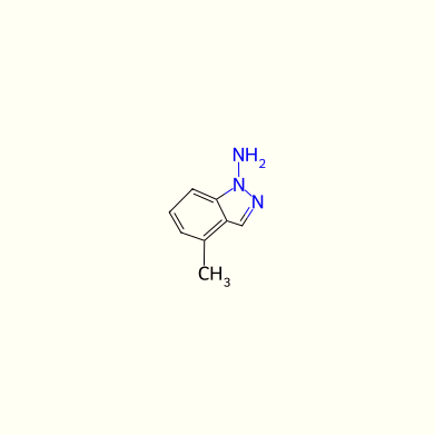 Cc1cccc2c1cnn2N